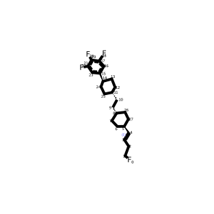 FCC/C=C/[C@H]1CC[C@H](CC[C@H]2CC[C@H](c3cc(F)c(F)c(F)c3)CC2)CC1